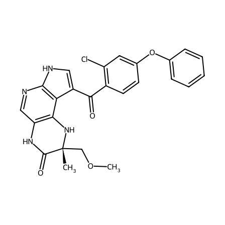 COC[C@@]1(C)Nc2c(cnc3[nH]cc(C(=O)c4ccc(Oc5ccccc5)cc4Cl)c23)NC1=O